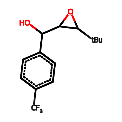 CC(C)(C)C1OC1C(O)c1ccc(C(F)(F)F)cc1